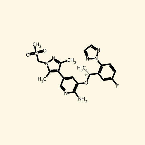 Cc1nn(CS(C)(=O)=O)c(C)c1-c1cnc(N)c(O[C@H](C)c2cc(F)ccc2-n2nccn2)c1